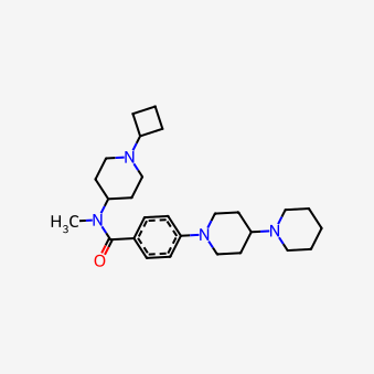 CN(C(=O)c1ccc(N2CCC(N3CCCCC3)CC2)cc1)C1CCN(C2CCC2)CC1